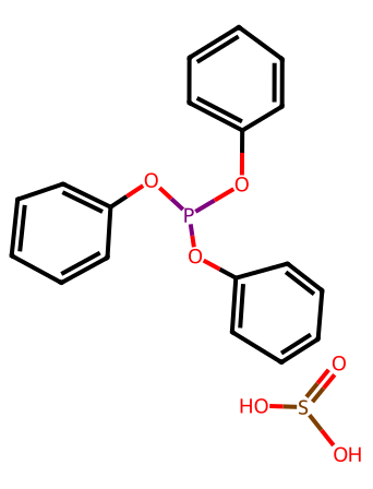 O=S(O)O.c1ccc(OP(Oc2ccccc2)Oc2ccccc2)cc1